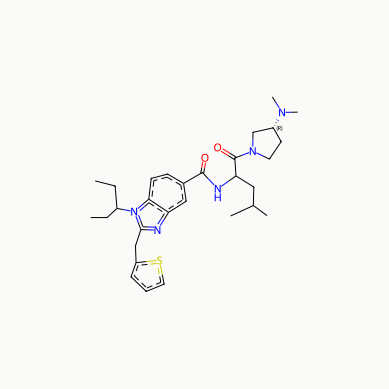 CCC(CC)n1c(Cc2cccs2)nc2cc(C(=O)NC(CC(C)C)C(=O)N3CC[C@@H](N(C)C)C3)ccc21